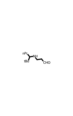 CCCC(NCCC=O)C(C)(C)C